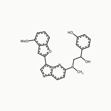 COc1cccc2oc(-c3cnc4ccc(N(C)CC(O)c5cccc(O)c5)nn34)cc12